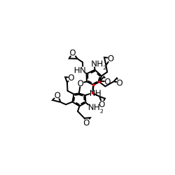 Nc1c(CC2CO2)c(CC2CO2)c(CC2CO2)c(Oc2c(CC3CO3)c(CC3CO3)c(CC3CO3)c(N)c2NCC2CO2)c1NCC1CO1